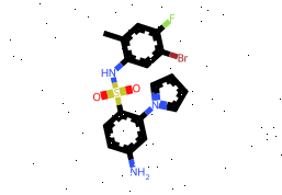 Cc1cc(F)c(Br)cc1NS(=O)(=O)c1ccc(N)cc1-n1cccc1